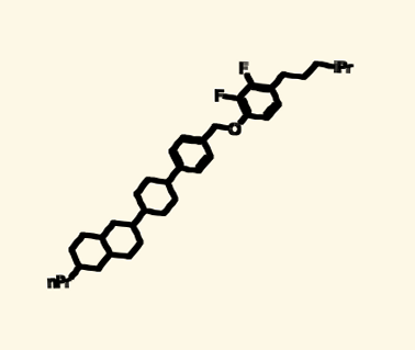 CCCC1CCC2CC(C3CCC(c4ccc(COc5ccc(CCCC(C)C)c(F)c5F)cc4)CC3)CCC2C1